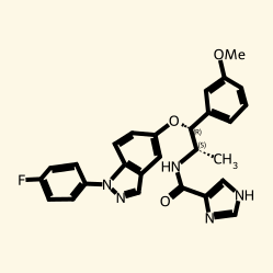 COc1cccc([C@@H](Oc2ccc3c(cnn3-c3ccc(F)cc3)c2)[C@H](C)NC(=O)c2c[nH]cn2)c1